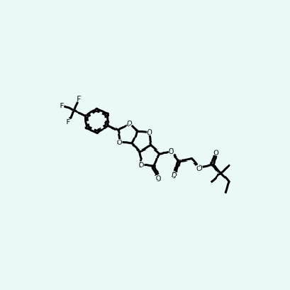 CCC(C)(C)C(=O)OCC(=O)OC1C(=O)OC2C3OC(c4ccc(C(F)(F)F)cc4)OC3OC12